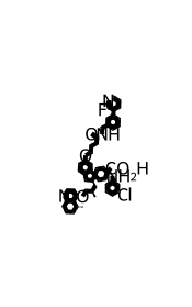 C[C@@H](COc1ccnc2c1[C@H](C)CCC2)C[C@H]1Cc2ccc(OCCCC(=O)NCc3cccc(-c4cccnc4F)c3)cc2C12CCC(Nc1cccc(Cl)c1)(C(=O)O)CC2